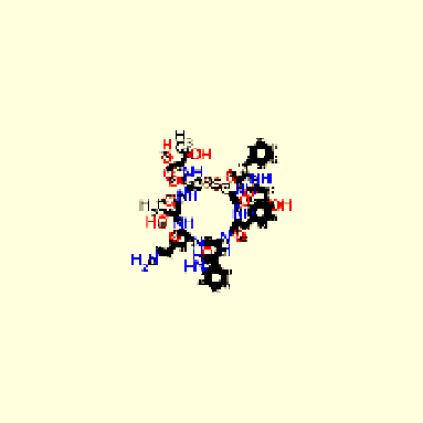 C[C@@H](O)C(NC(=O)[C@@H]1CSSCC(NC(=O)[C@@H](Cc2ccccc2)NC(=O)CCO)C(=O)NC(Cc2ccccc2)C(=O)NC(Cc2c[nH]c3ccccc23)C(=O)N[C@@H](CCCCN)C(=O)N[C@@H]([C@@H](C)O)C(=O)N1)C(=O)O